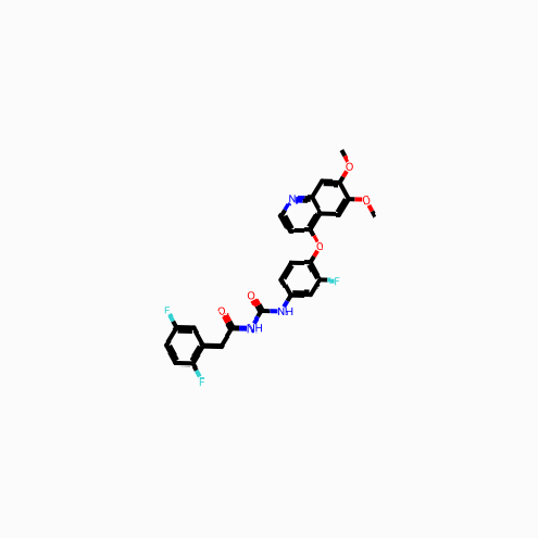 COc1cc2nccc(Oc3ccc(NC(=O)NC(=O)Cc4cc(F)ccc4F)cc3F)c2cc1OC